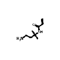 C=CC(=O)NC(C)(C)CCN